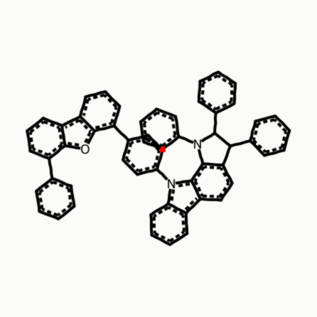 c1ccc(-c2cccc3c2oc2c(-c4ccc(-n5c6ccccc6c6ccc7c(c65)N(c5ccccc5)C(c5ccccc5)C7c5ccccc5)cc4)cccc23)cc1